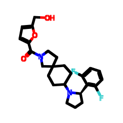 O=C(c1ccc(CO)o1)N1CCC2(CCC(N3CCC[C@@H]3c3c(F)cccc3F)CC2)C1